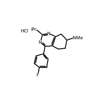 CNC1CCc2c(nc(C(C)C)nc2-c2ccc(F)cc2)C1.Cl